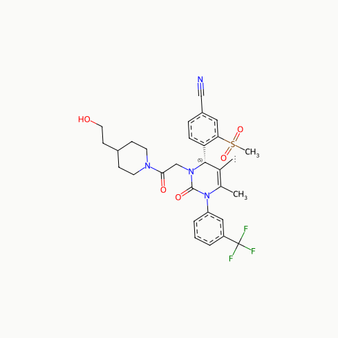 [C]C1=C(C)N(c2cccc(C(F)(F)F)c2)C(=O)N(CC(=O)N2CCC(CCO)CC2)[C@@H]1c1ccc(C#N)cc1S(C)(=O)=O